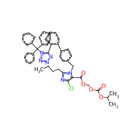 CCCCc1nc(Cl)c(C(=O)OCOC(=O)OC(C)C)n1Cc1ccc(-c2ccccc2-c2nnnn2C(c2ccccc2)(c2ccccc2)c2ccccc2)cc1